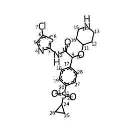 O=C(Nc1n[c]c(Cl)s1)C(OC1CCNCC1)c1ccc(S(=O)(=O)C2CC2)cc1